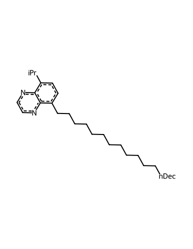 CCCCCCCCCCCCCCCCCCCCCCc1ccc(C(C)C)c2nccnc12